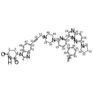 O=C1CCC(n2cnc3cc(C#CCN4CCN(c5cccc(-c6cnc7ccc(N8CCC[C@@H]8c8cccc(F)c8)nn67)n5)CC4)ccc32)C(=O)N1